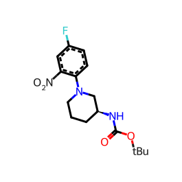 CC(C)(C)OC(=O)N[C@H]1CCCN(c2ccc(F)cc2[N+](=O)[O-])C1